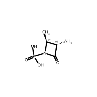 C[C@H]1[C@H](N)C(=O)N1P(=O)(O)O